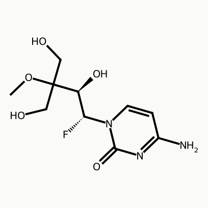 COC(CO)(CO)[C@@H](O)[C@@H](F)n1ccc(N)nc1=O